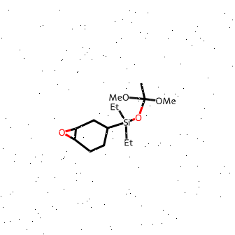 CC[Si](CC)(OC(C)(OC)OC)C1CCC2OC2C1